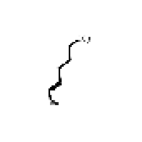 CC(C)(C)/C=C/CCCC(=O)O